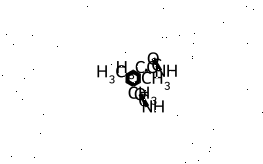 CC(C)=O.Cc1cccc(C)c1.N=C=O.N=C=O